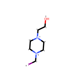 OCCN1CCN(CI)CC1